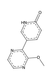 COc1nccnc1-c1ccc(=O)[nH]c1